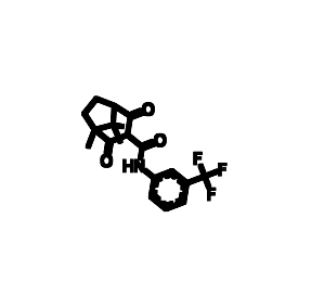 CC12CCC(C(=O)C(C(=O)Nc3cccc(C(F)(F)F)c3)C1=O)C2(C)C